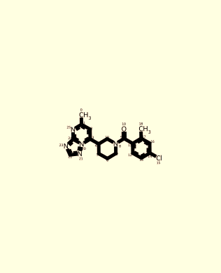 Cc1cc(C2CCCN(C(=O)c3ccc(Cl)cc3C)C2)n2ncnc2n1